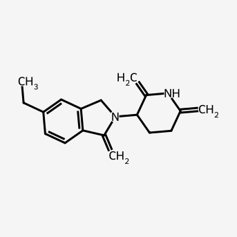 C=C1CCC(N2Cc3cc(CC)ccc3C2=C)C(=C)N1